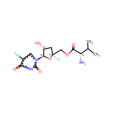 CC(C)[C@H](N)C(=O)OC[C@]1(F)C[C@@H](O)[C@H](n2cc(F)c(=O)[nH]c2=O)O1